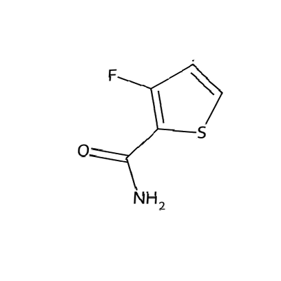 NC(=O)c1sc[c]c1F